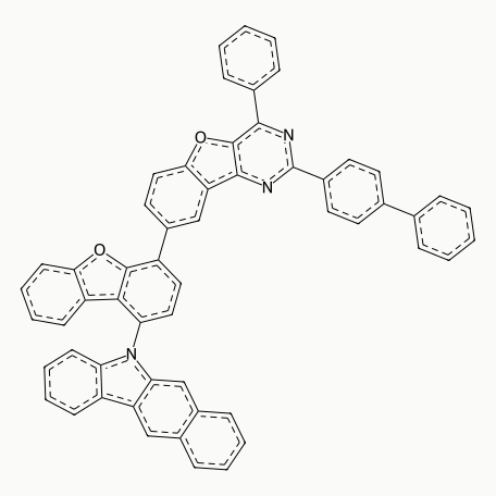 c1ccc(-c2ccc(-c3nc(-c4ccccc4)c4oc5ccc(-c6ccc(-n7c8ccccc8c8cc9ccccc9cc87)c7c6oc6ccccc67)cc5c4n3)cc2)cc1